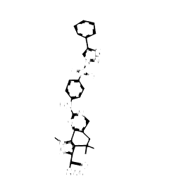 CNC(=O)c1nn(C)c2c1C(C)(C)Cc1cnc(Nc3ccc(S(=O)(=O)n4cc(-c5ccccc5)nn4)cc3)nc1-2